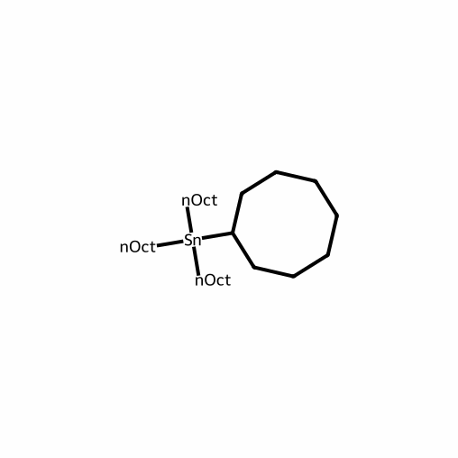 CCCCCCC[CH2][Sn]([CH2]CCCCCCC)([CH2]CCCCCCC)[CH]1CCCCCCC1